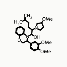 C=C(C)CCC(C(O)N1c2ccccc2OCC1c1ccc(OC)c(OC)c1)N1CCC(OC)C1